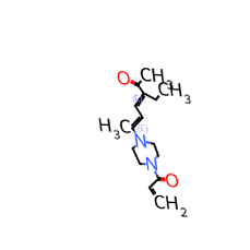 C=CC(=O)N1CCN(/C(C)=C/C=C(\CC)C(C)=O)CC1